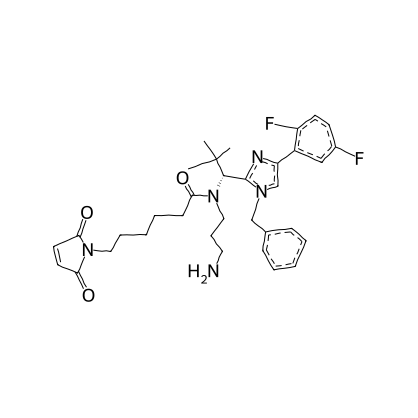 CC(C)(C)[C@H](c1nc(-c2cc(F)ccc2F)cn1Cc1ccccc1)N(CCCN)C(=O)CCCCCN1C(=O)C=CC1=O